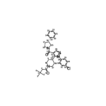 CC(C)(C)CC(=O)N1CCC(c2c(C(=O)N3CC[C@H](c4ccccc4)C3)cnn2-c2ccc(Cl)cc2)CC1